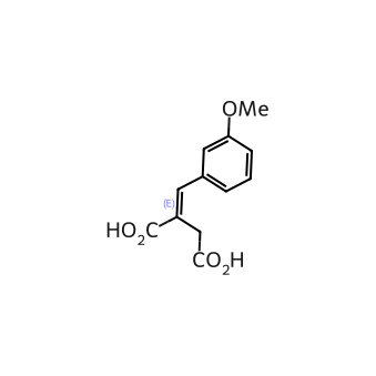 COc1cccc(/C=C(\CC(=O)O)C(=O)O)c1